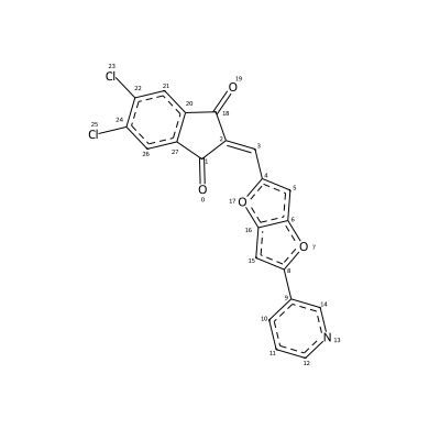 O=C1C(=Cc2cc3oc(-c4cccnc4)cc3o2)C(=O)c2cc(Cl)c(Cl)cc21